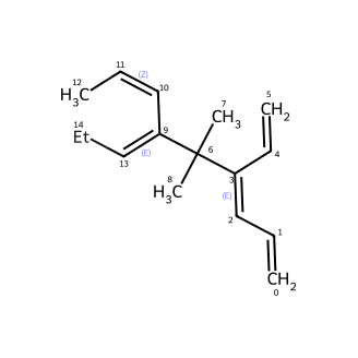 C=C/C=C(\C=C)C(C)(C)C(/C=C\C)=C/CC